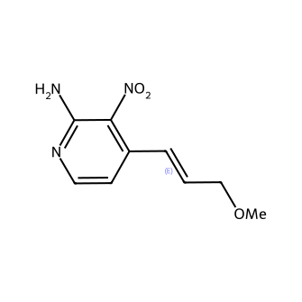 COC/C=C/c1ccnc(N)c1[N+](=O)[O-]